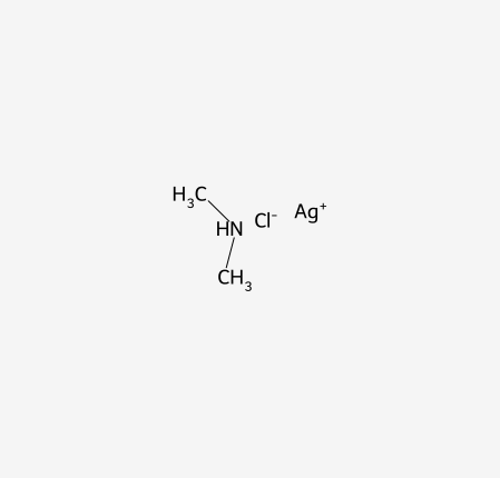 CNC.[Ag+].[Cl-]